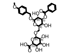 COc1ccc(CO[C@@H]2O[C@H](CO[C@@H]3O[C@H](C(=O)O)[C@@H](O)[C@H](O)[C@H]3O)[C@@H](O)[C@H](OC(=O)c3ccccc3)[C@H]2O)cc1